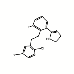 Fc1cccc(C2=NCCN2)c1CCc1cc(Br)ccc1Cl